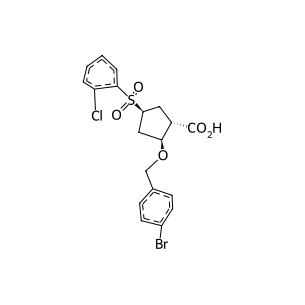 O=C(O)[C@H]1C[C@H](S(=O)(=O)c2ccccc2Cl)C[C@@H]1OCc1ccc(Br)cc1